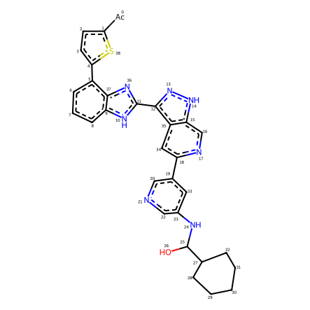 CC(=O)c1ccc(-c2cccc3[nH]c(-c4n[nH]c5cnc(-c6cncc(NC(O)C7CCCCC7)c6)cc45)nc23)s1